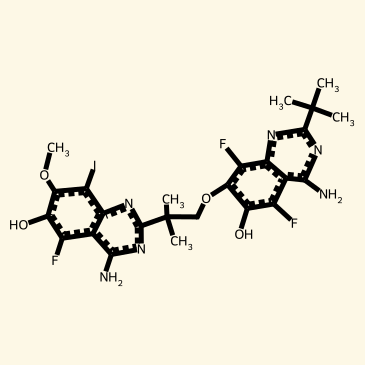 COc1c(O)c(F)c2c(N)nc(C(C)(C)COc3c(O)c(F)c4c(N)nc(C(C)(C)C)nc4c3F)nc2c1I